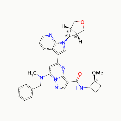 CO[C@H]1CCC1NC(=O)c1cnn2c(N(C)Cc3ccccc3)cc(-c3cn([C@H]4[C@@H]5COC[C@@H]54)c4ncccc34)nc12